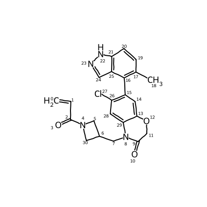 C=CC(=O)N1CC(CN2C(=O)COc3cc(-c4c(C)ccc5[nH]ncc45)c(Cl)cc32)C1